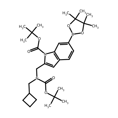 CC(C)(C)OC(=O)N(Cc1cc2ccc(B3OC(C)(C)C(C)(C)O3)cc2n1C(=O)OC(C)(C)C)CC1CCC1